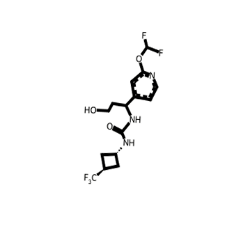 O=C(NC(CCO)c1ccnc(OC(F)F)c1)N[C@H]1C[C@H](C(F)(F)F)C1